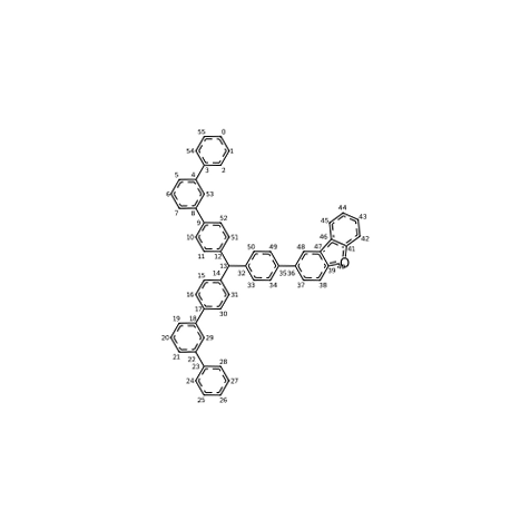 c1ccc(-c2cccc(-c3ccc(C(c4ccc(-c5cccc(-c6ccccc6)c5)cc4)c4ccc(-c5ccc6oc7ccccc7c6c5)cc4)cc3)c2)cc1